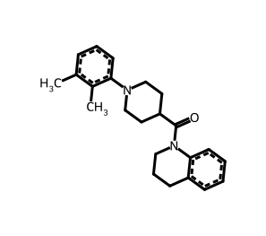 Cc1cccc(N2CCC(C(=O)N3CCCc4ccccc43)CC2)c1C